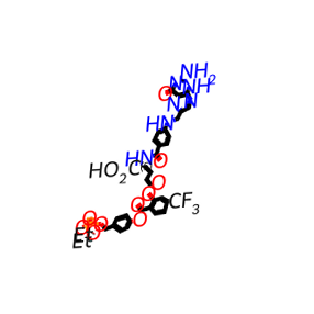 CCOP(=O)(OCC)OCc1ccc(OC(=O)c2ccc(C(F)(F)F)cc2OC(=O)CC[C@H](NC(=O)c2ccc(NCc3cnc4[nH]c(N)nc(=O)c4n3)cc2)C(=O)O)cc1